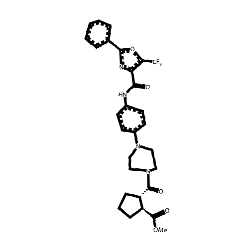 COC(=O)[C@H]1CCC[C@@H]1C(=O)N1CCN(c2ccc(NC(=O)c3nc(-c4ccccc4)oc3C(F)(F)F)cc2)CC1